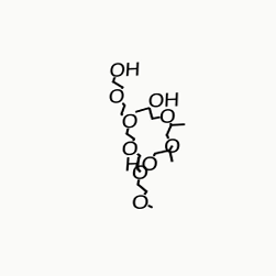 CC(O)COC(C)COC(C)CO.COCCOCCOCCOCCOCCO